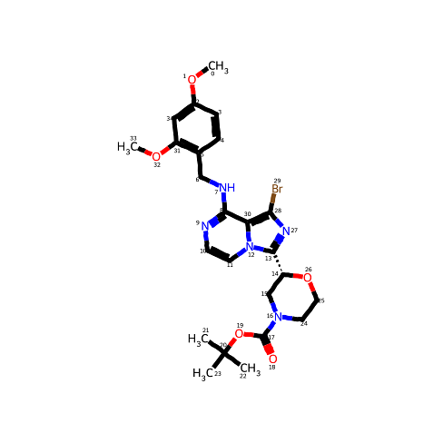 COc1ccc(CNc2nccn3c([C@H]4CN(C(=O)OC(C)(C)C)CCO4)nc(Br)c23)c(OC)c1